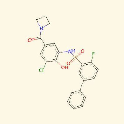 O=C(c1cc(Cl)c(O)c(NS(=O)(=O)c2cc(-c3ccccc3)ccc2F)c1)N1CCC1